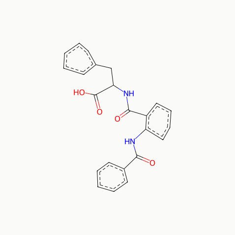 O=C(Nc1ccccc1C(=O)NC(Cc1ccccc1)C(=O)O)c1ccccc1